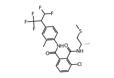 CSC[C@H](C)NC(=O)c1c(Cl)cccc1C(=O)Nc1ccc(C(C(F)F)C(F)(F)F)cc1C